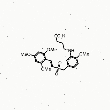 COc1cc(OC)c(C=CS(=O)(=O)Cc2ccc(OC)c(NCCCC(=O)O)c2)c(OC)c1